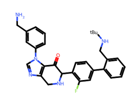 CC(C)(C)NCc1ccccc1-c1ccc(C2NCc3ncn(-c4cccc(CN)c4)c3C2=O)c(F)c1